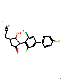 C#CCC1CC(=O)C(c2c(F)cc(-c3ccc(F)cc3)cc2Cl)C1O